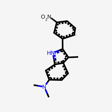 Cc1c(-c2[c]ccc([N+](=O)[O-])c2)[nH]c2cc(N(C)C)ccc12